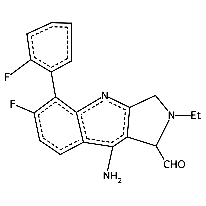 CCN1Cc2nc3c(-c4ccccc4F)c(F)ccc3c(N)c2C1C=O